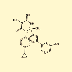 CN1C(=N)N[C@](C)(c2cc(-c3cncc(C#N)c3)cs2)[C@H](c2ccc(C3CC3)cc2)C1=O